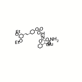 CCOc1cc(C=Cc2ccc(OC(=O)OCCNC(=O)C(OC(N)=O)C(c3ccccc3)C(C)(C)C)cc2)cc(OCC)c1